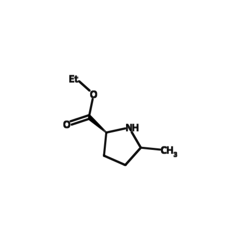 CCOC(=O)[C@@H]1CCC(C)N1